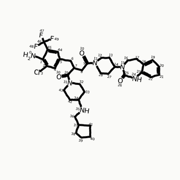 Nc1c(Cl)cc(CC(CC(=O)N2CCC(N3CCc4ccccc4NC3=O)CC2)C(=O)N2CCC(NCC3CCCC3)CC2)cc1C(F)(F)F